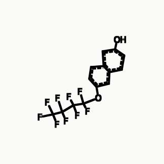 Oc1ccc2cc(OC(F)(F)C(F)(F)C(F)(F)C(F)(F)F)ccc2c1